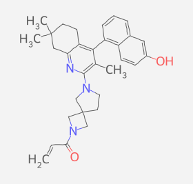 C=CC(=O)N1CC2(CCN(c3nc4c(c(-c5cccc6cc(O)ccc56)c3C)CCC(C)(C)C4)C2)C1